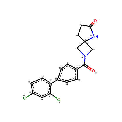 O=C1CCC2(CN(C(=O)c3ccc(-c4ccc(Cl)cc4Cl)cc3)C2)N1